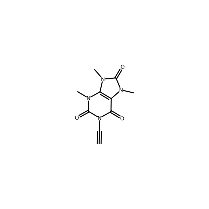 C#Cn1c(=O)c2c(n(C)c1=O)n(C)c(=O)n2C